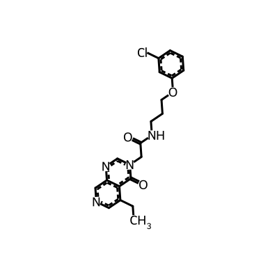 CCc1cncc2ncn(CC(=O)NCCCOc3cccc(Cl)c3)c(=O)c12